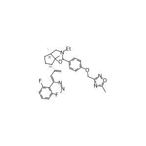 C=C(/C=C(\N=N/C)c1c(F)cccc1F)[C@@H]1CC[C@@](C)(CN(CC)C(=O)c2ccc(OCc3noc(C)n3)cc2)C1(C)C